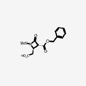 CNN1C(=O)[C@H](C(=O)OCc2ccccc2)[C@H]1CC(=O)O